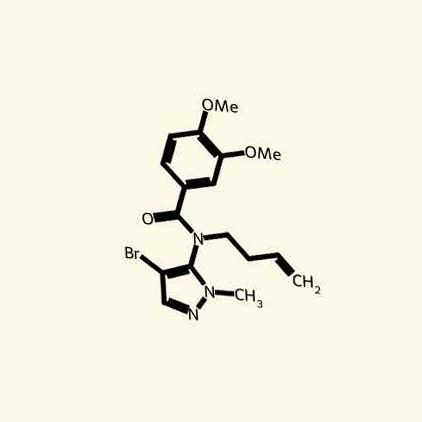 C=CCCN(C(=O)c1ccc(OC)c(OC)c1)c1c(Br)cnn1C